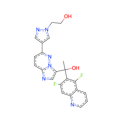 CC(O)(c1c(F)cc2ncccc2c1F)c1cnc2ccc(-c3cnn(CCO)c3)nn12